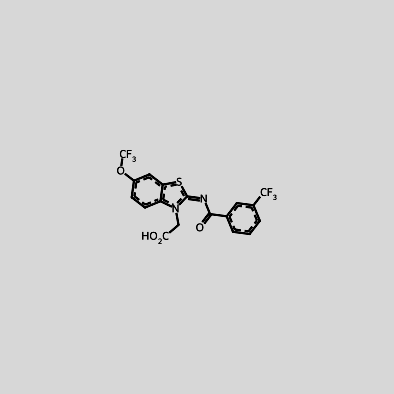 O=C(O)Cn1c(=NC(=O)c2cccc(C(F)(F)F)c2)sc2cc(OC(F)(F)F)ccc21